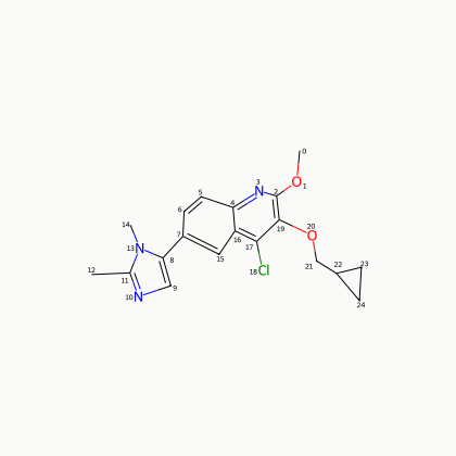 COc1nc2ccc(-c3cnc(C)n3C)cc2c(Cl)c1OCC1CC1